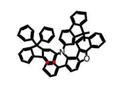 CC1(C)c2ccccc2-c2ccc(N(c3ccc4c(c3)C(c3ccccc3)(c3ccccc3)c3ccccc3-4)c3c(-c4ccccc4)ccc4oc5c6ccccc6ccc5c34)cc21